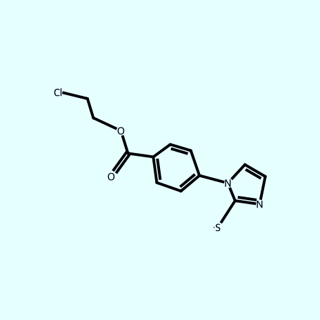 O=C(OCCCl)c1ccc(-n2ccnc2[S])cc1